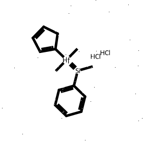 C[Si](c1ccccc1)=[Hf]([CH3])([CH3])[C]1=CC=CC1.Cl.Cl